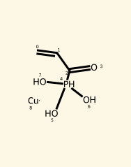 C=CC(=O)[PH](O)(O)O.[Cu]